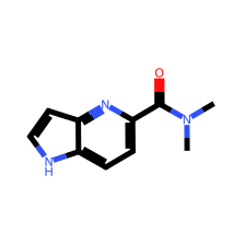 CN(C)C(=O)c1ccc2[nH]ccc2n1